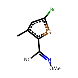 CON=C(C#N)c1sc(Br)cc1C